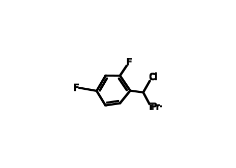 C[C](C)C(Cl)c1ccc(F)cc1F